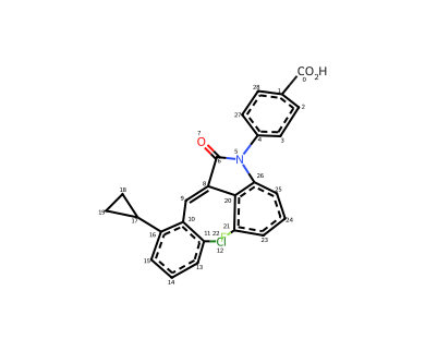 O=C(O)c1ccc(N2C(=O)/C(=C/c3c(Cl)cccc3C3CC3)c3c(F)cccc32)cc1